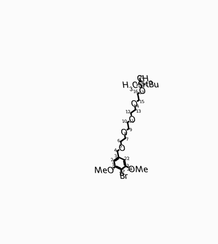 COc1cc(COCCOCCOCCOCCO[Si](C)(C)C(C)(C)C)cc(OC)c1Br